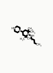 CCCCNN1C(C)(C)CC(N2CCNCC2)CC1(C)C